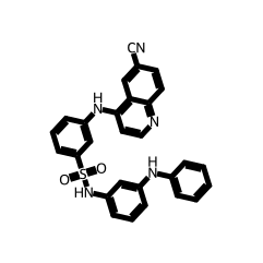 N#Cc1ccc2nccc(Nc3cccc(S(=O)(=O)Nc4cccc(Nc5ccccc5)c4)c3)c2c1